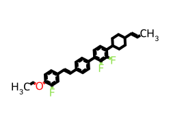 C/C=C/C1CCC(c2ccc(-c3ccc(/C=C/c4ccc(OCC)c(F)c4)cc3)c(F)c2F)CC1